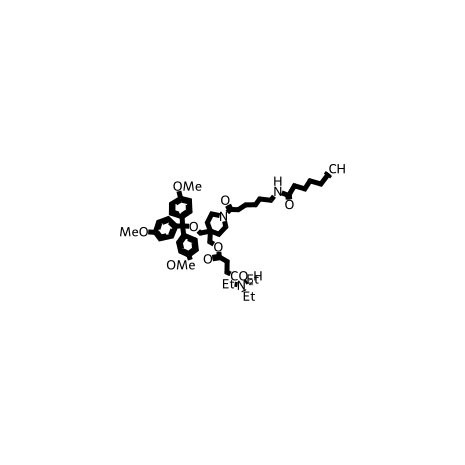 C#CCCCCC(=O)NCCCCCC(=O)N1CCC(COC(=O)CCC(=O)O)(COC(c2ccc(OC)cc2)(c2ccc(OC)cc2)c2ccc(OC)cc2)CC1.CCN(CC)CC